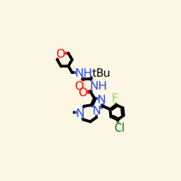 CN1CCCn2c(-c3cc(Cl)ccc3F)nc(C(=O)NC(C(=O)NCC3CCOCC3)C(C)(C)C)c2C1